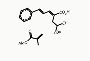 C=C(C)C(=O)OC.CCCCC(CC)CC(=CC=Cc1ccccc1)C(=O)O